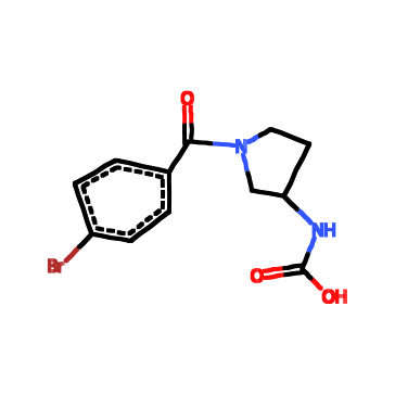 O=C(O)NC1CCN(C(=O)c2ccc(Br)cc2)C1